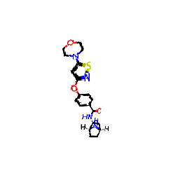 O=C(N[C@@H]1C[C@H]2CC[C@@H]1N2)c1ccc(Oc2cc(N3CCOCC3)sn2)cc1